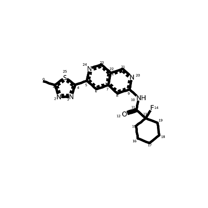 Cc1nnc(-c2cc3cc(NC(=O)C4(F)CCCCC4)ncc3cn2)s1